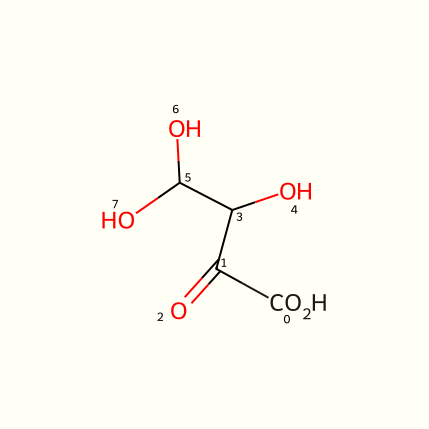 O=C(O)C(=O)C(O)C(O)O